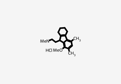 CNCCC1C2=C(CCCC2)c2c(C)cc(C)c(OC)c21.Cl